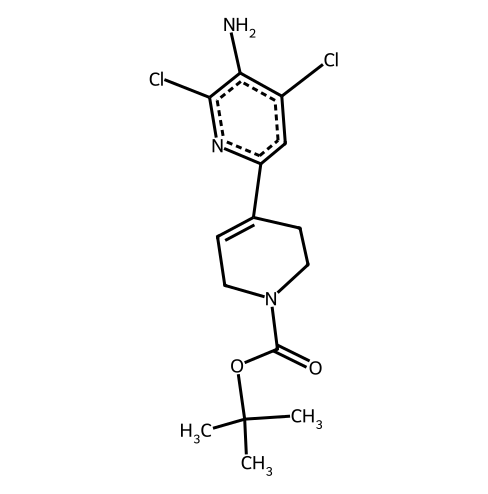 CC(C)(C)OC(=O)N1CC=C(c2cc(Cl)c(N)c(Cl)n2)CC1